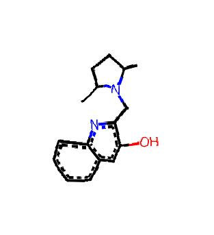 CC1CCC(C)N1Cc1nc2ccccc2cc1O